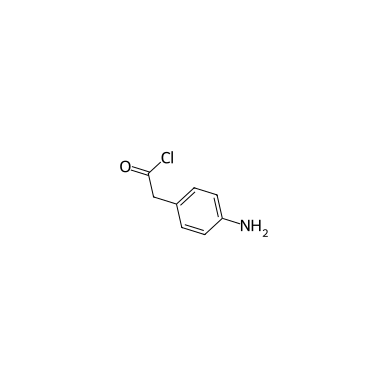 Nc1ccc(CC(=O)Cl)cc1